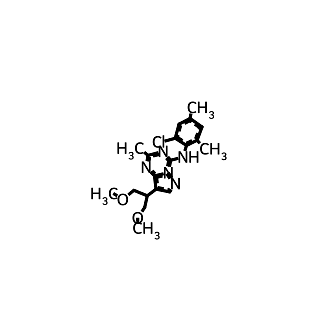 COCC(COC)c1cnn2c(Nc3c(C)cc(C)cc3Cl)nc(C)nc12